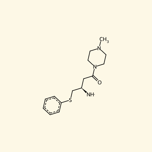 CN1CCN(C(=O)C[C@@H]([NH])CSc2ccccc2)CC1